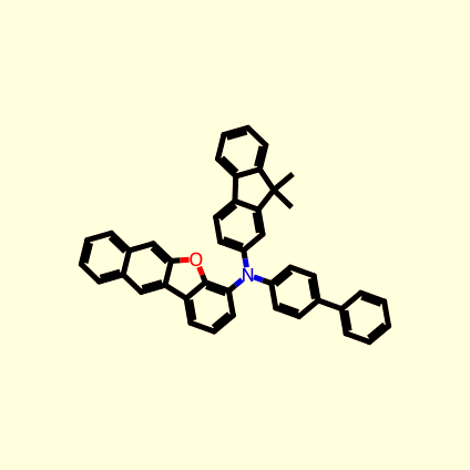 CC1(C)c2ccccc2-c2ccc(N(c3ccc(-c4ccccc4)cc3)c3cccc4c3oc3cc5ccccc5cc34)cc21